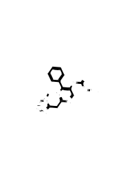 Cn1nnnc1Cc1ncc(NC(=O)OC(C)(C)C)c(-c2ccccc2)n1